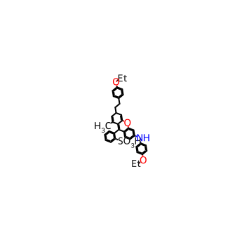 CCOc1ccc(CCC2C=C(C)C3=C(c4ccccc4S(=O)(=O)O)c4ccc(Nc5ccc(OCC)cc5)cc4OC3=C2)cc1